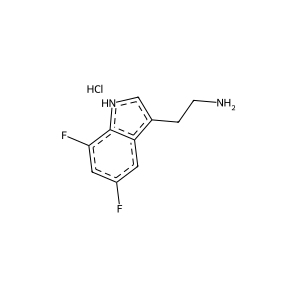 Cl.NCCc1c[nH]c2c(F)cc(F)cc12